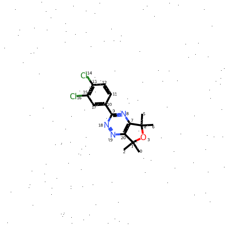 CC1(C)OC(C)(C)c2nc(-c3ccc(Cl)c(Cl)c3)nnc21